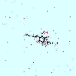 CCCCC/C=C/C1=C(CO)[C@@H](O)[C@H]2O[C@@]2(C/C=C(\C)C(=O)O)C1=O